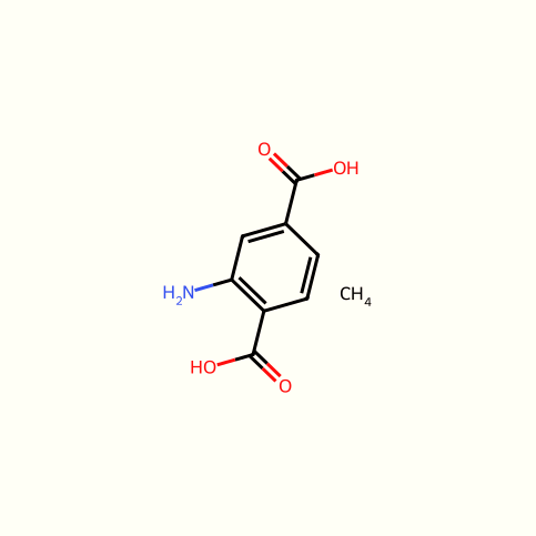 C.Nc1cc(C(=O)O)ccc1C(=O)O